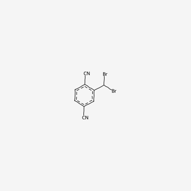 N#Cc1ccc(C#N)c(C(Br)Br)c1